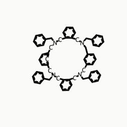 c1ccc(CN2Cc3cccc(c3)CN(Cc3ccccc3)Cc3ccccc3CN(Cc3ccccc3)Cc3cccc(c3)CN(Cc3ccccc3)Cc3ccccc3C2)cc1